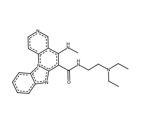 CCN(CC)CCNC(=O)c1c(NC)c2cnccc2n2c1nc1ccccc12